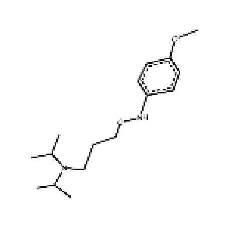 COc1ccc(NOCCCN(C(C)C)C(C)C)cc1